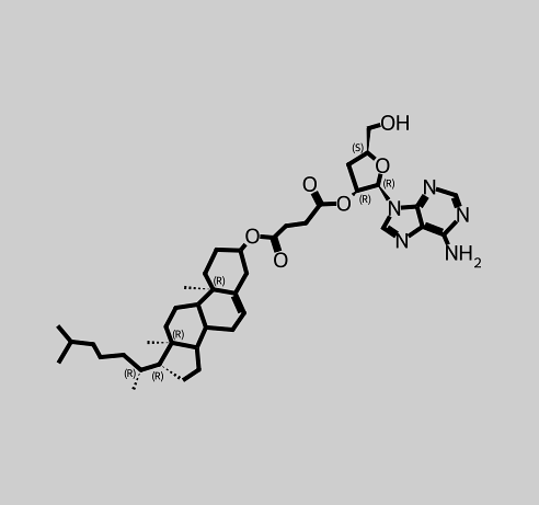 CC(C)CCC[C@@H](C)[C@H]1CCC2C3CC=C4CC(OC(=O)CCC(=O)O[C@@H]5C[C@@H](CO)O[C@H]5n5cnc6c(N)ncnc65)CC[C@]4(C)C3CC[C@@]21C